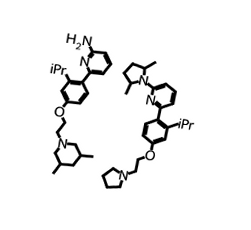 CC(C)c1cc(OCCN2CCCC2)ccc1-c1cccc(N2C(C)CCC2C)n1.CC1CC(C)CN(CCOc2ccc(-c3cccc(N)n3)c(C(C)C)c2)C1